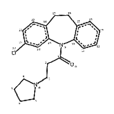 O=C(CCN1CCCC1)N1c2ccccc2CCc2ccc(Cl)cc21